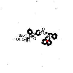 CC(C)(C)OC(Cn1c(=O)n(C2CCN(C(=O)OC[C@@H](Cc3ccccc3)N(Cc3ccccc3)Cc3ccccc3)CC2)c2ccccc21)NC=O